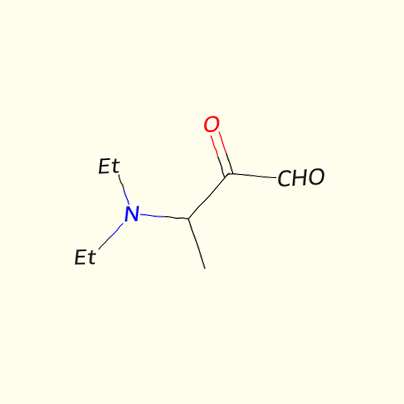 CCN(CC)C(C)C(=O)C=O